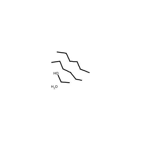 CCCCCC.CCCCCC.CCO.O